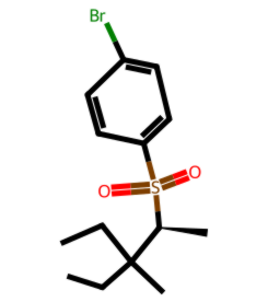 CCC(C)(CC)[C@H](C)S(=O)(=O)c1ccc(Br)cc1